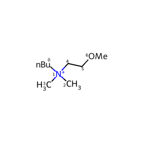 CCCC[N+](C)(C)CCOC